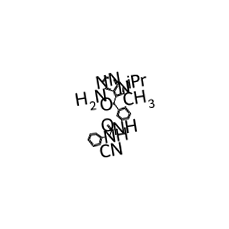 Cc1ccc(NC(=O)Nc2ccccc2C#N)cc1C(=O)c1cn(C(C)C)c2ncnc(N)c12